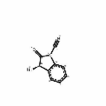 N#CN1C(=O)[C@H](O)c2ccccc21